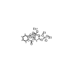 CCOP(=O)(OCC)OC(COC(=O)c1ccccc1OC(C)=O)OP(=O)(OCC)OCC